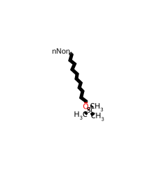 CCCCCCCCCCCCCCCCCCCCO[Si](C)(C)C